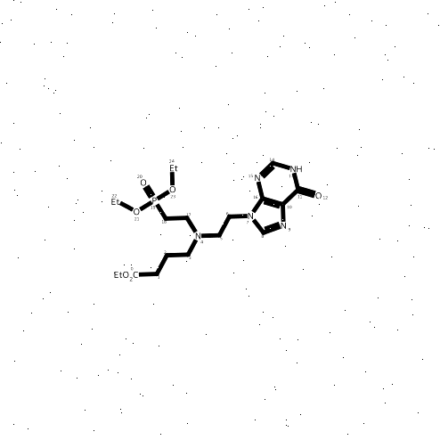 CCOC(=O)CCCN(CCn1cnc2c(=O)[nH]cnc21)CCP(=O)(OCC)OCC